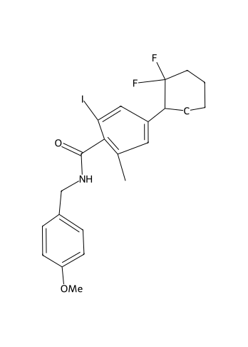 COc1ccc(CNC(=O)c2c(C)cc(C3CCCCC3(F)F)cc2I)cc1